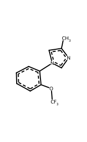 Cc1cn(-c2ccccc2OC(F)(F)F)cn1